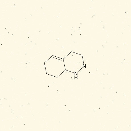 C1=C2CC[N]NC2CCC1